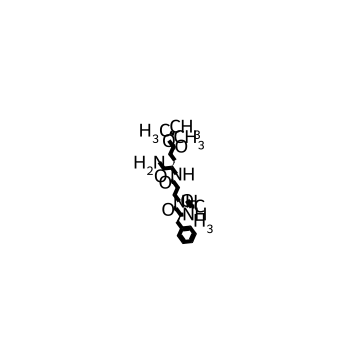 CC(=O)N[C@@H](Cc1ccccc1)C(=O)NCCC(=O)N[C@@H](CCC(=O)OC(C)(C)C)C(N)=O